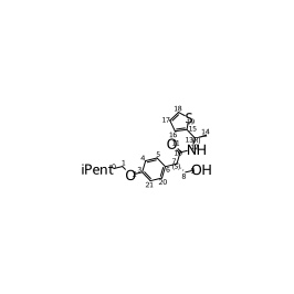 CCCC(C)COc1ccc([C@@H](CO)C(=O)N[C@H](C)c2cccs2)cc1